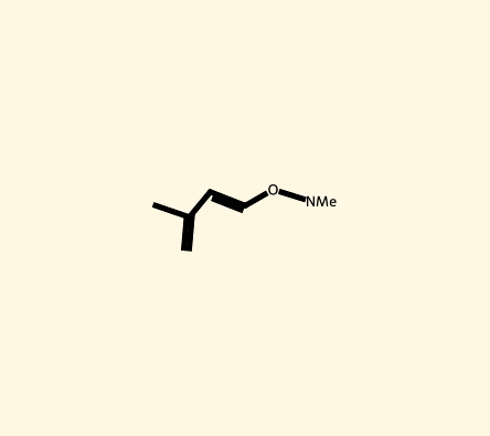 C=C(C)/C=C/ONC